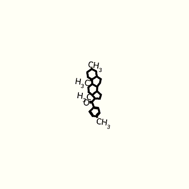 Cc1ccc(C(=O)C2CCC3C4CCC5CC(C)CCC5(C)C4CCC23C)cc1